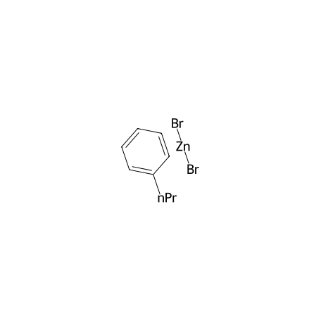 [Br][Zn][Br].[CH2]CCc1ccccc1